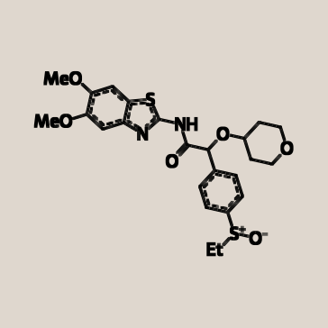 CC[S+]([O-])c1ccc(C(OC2CCOCC2)C(=O)Nc2nc3cc(OC)c(OC)cc3s2)cc1